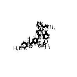 CCOc1ccc(CN2c3nc(Nc4ccc(C(=O)NC5CCN(C)CC5)cc4OC)ncc3-n3cnnc3C2CC)cc1